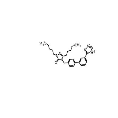 CCCCCc1nn(CCCCC)c(=O)n1Cc1ccc(-c2cccc(-c3nnn[nH]3)c2)cc1